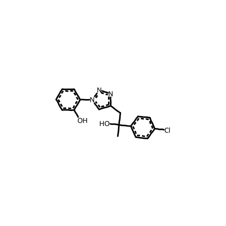 CC(O)(Cc1cn(-c2ccccc2O)nn1)c1ccc(Cl)cc1